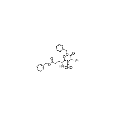 CCCC(NC(=O)C(CCC(=O)OCc1ccccc1)NC=O)C(=O)OCc1ccccc1